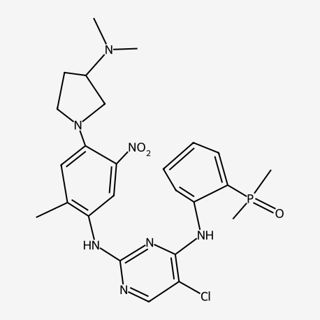 Cc1cc(N2CCC(N(C)C)C2)c([N+](=O)[O-])cc1Nc1ncc(Cl)c(Nc2ccccc2P(C)(C)=O)n1